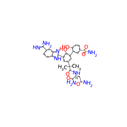 CC(C)(C(=O)N[C@@H](CC(N)=O)C(N)=O)c1cc(-c2nc3cc(C(=N)N)ccc3[nH]2)c(O)c(-c2cc(S(N)(=O)=O)ccc2O)c1